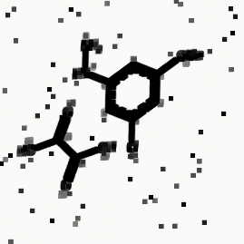 COc1cc(Cl)cc(NN)c1.O=C(O)C(=O)O